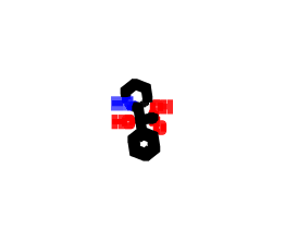 O=C(O)[C@@](O)(c1ccccc1)[C@H]1CCCCN1